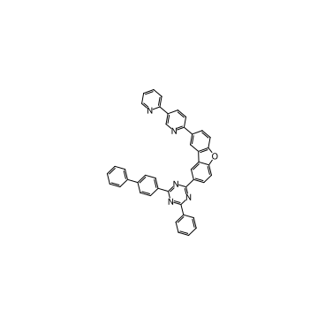 c1ccc(-c2ccc(-c3nc(-c4ccccc4)nc(-c4ccc5oc6ccc(-c7ccc(-c8ccccn8)cn7)cc6c5c4)n3)cc2)cc1